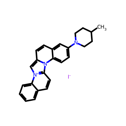 CC1CCN(c2ccc3c(ccc4c[n+]5c6ccccc6ccc5n43)c2)CC1.[I-]